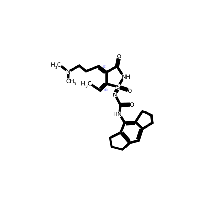 C/C=C1\C(=C/CCN(C)C)C(=O)NS1(=O)=NC(=O)Nc1c2c(cc3c1CCC3)CCC2